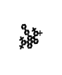 CC(C)(C)c1cc(N2c3ccccc3B3c4ccccc4N(c4cc(C(C)(C)C)cc(C(C)(C)C)c4)c4cc(-c5ccc(-c6ccccc6)cc5)cc2c43)cc(C(C)(C)C)c1